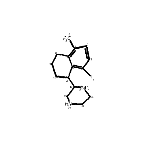 FC(F)(F)c1ccc(I)c2c1CCCC2C1CNCCN1